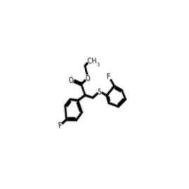 CCOC(=O)C(CSc1ccccc1F)c1ccc(F)cc1